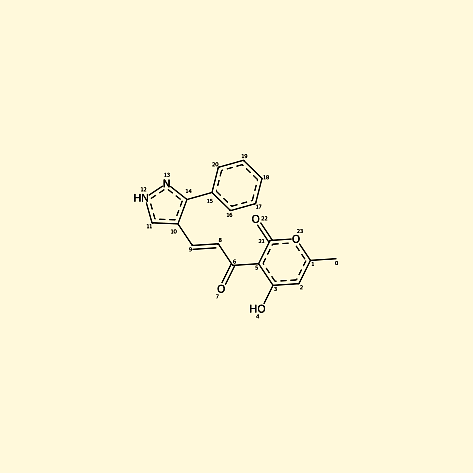 Cc1cc(O)c(C(=O)C=Cc2c[nH]nc2-c2ccccc2)c(=O)o1